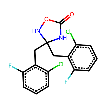 O=C1NC(Cc2c(F)cccc2Cl)(Cc2c(F)cccc2Cl)NO1